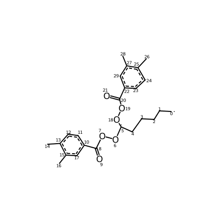 [CH2]CCCC[C](OOC(=O)c1ccc(C)c(C)c1)OOC(=O)c1ccc(C)c(C)c1